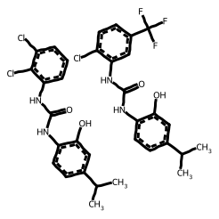 CC(C)c1ccc(NC(=O)Nc2cc(C(F)(F)F)ccc2Cl)c(O)c1.CC(C)c1ccc(NC(=O)Nc2cccc(Cl)c2Cl)c(O)c1